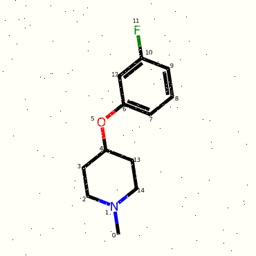 CN1CCC(Oc2cccc(F)c2)CC1